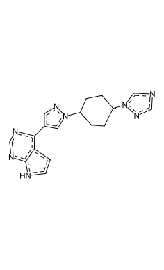 c1nc(-c2cnn(C3CC[C](n4cncn4)CC3)c2)c2cc[nH]c2n1